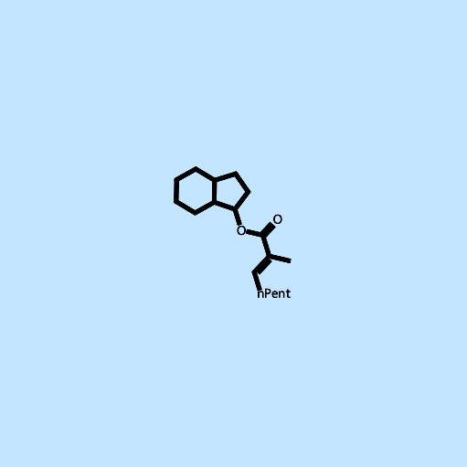 CCCCCC=C(C)C(=O)OC1CCC2CCCCC21